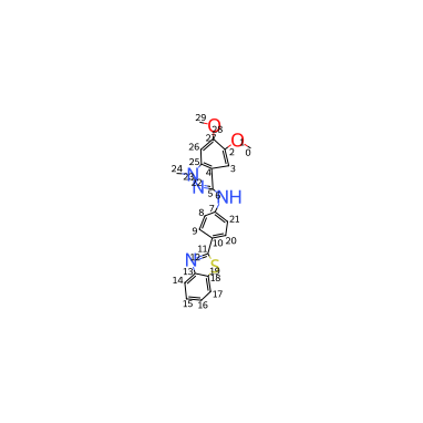 COc1cc2c(Nc3ccc(-c4nc5ccccc5s4)cc3)nn(C)c2cc1OC